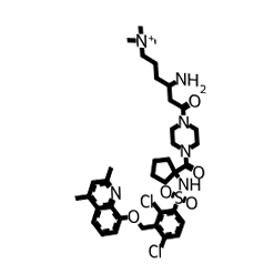 Cc1cc(C)c2cccc(OCc3c(Cl)ccc(S(=O)(=O)NC4(C(=O)N5CCN(C(=O)CC(N)CCC[N+](C)(C)C)CC5)CCCC4)c3Cl)c2n1